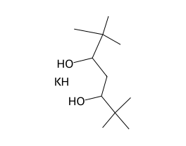 CC(C)(C)C(O)CC(O)C(C)(C)C.[KH]